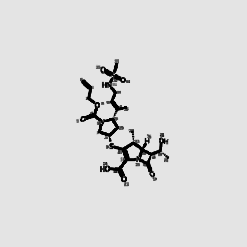 C=CCOC(=O)N1C[C@@H](SC2=C(C(=O)O)N3C(=O)[C@H]([C@@H](C)O)[C@H]3[C@H]2C)C[C@H]1/C(C)=C/CNS(C)(=O)=O